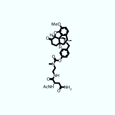 COc1ccc2c3c1O[C@H]1C(=O)CC[C@H]4C(C2)[N@@+](C)(Cc2ccc(OC(=O)N(C)CCNC(=O)[C@H](CC(N)=O)NC(C)=O)cc2)CC[C@]314